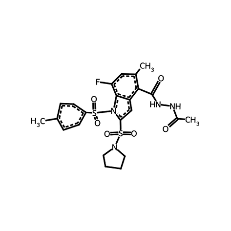 CC(=O)NNC(=O)c1c(C)cc(F)c2c1cc(S(=O)(=O)N1CCCC1)n2S(=O)(=O)c1ccc(C)cc1